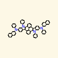 c1ccc(N(c2ccc3ccccc3c2)c2ccc3c4c5cccc6c5c5c(cccc5c4n(-c4ccccc4)c3c2)c2c3ccc(N(c4ccccc4)c4ccc5ccccc5c4)cc3n(-c3ccccc3)c62)cc1